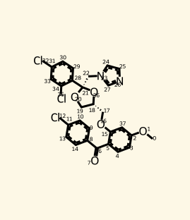 COc1ccc(C(=O)c2ccc(Cl)cc2)c(OC[C@@H]2CO[C@@](Cn3ccnc3)(c3ccc(Cl)cc3Cl)O2)c1